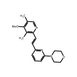 COc1c(C)cnc(C=Cc2cccc(N3CCOCC3)n2)c1C